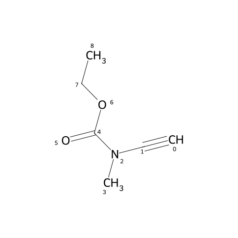 C#CN(C)C(=O)OCC